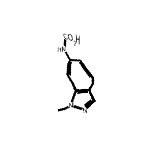 Cn1ncc2ccc(NC(=O)O)cc21